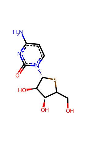 Nc1ccn([C@@H]2SC(CO)[C@@H](O)[C@H]2O)c(=O)n1